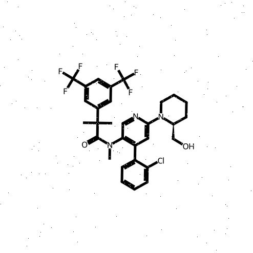 CN(C(=O)C(C)(C)c1cc(C(F)(F)F)cc(C(F)(F)F)c1)c1cnc(N2CCCC[C@H]2CO)cc1-c1ccccc1Cl